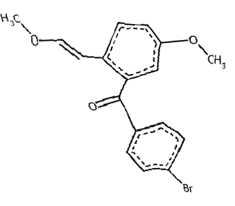 COC=Cc1ccc(OC)cc1C(=O)c1ccc(Br)cc1